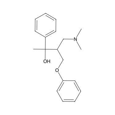 CN(C)CC(COc1ccccc1)C(C)(O)c1ccccc1